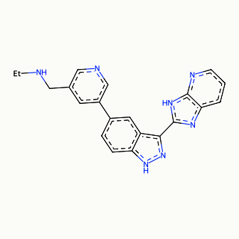 CCNCc1cncc(-c2ccc3[nH]nc(-c4nc5cccnc5[nH]4)c3c2)c1